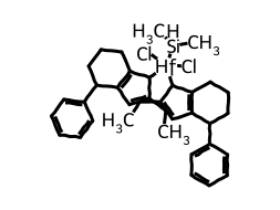 CCC1=CC2=C(CCCC2c2ccccc2)[CH]1[Hf]([Cl])([Cl])([CH]1C(CC)=CC2=C1CCCC2c1ccccc1)[SiH](C)C